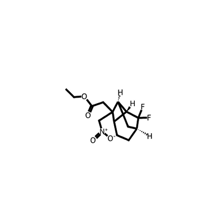 CCOC(=O)CC1(C[N+](=O)[O-])C2CC[C@H]3C[C@@H]1[C@@H]2C3(F)F